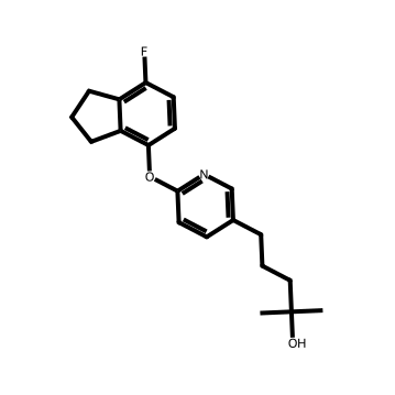 CC(C)(O)CCCc1ccc(Oc2ccc(F)c3c2CCC3)nc1